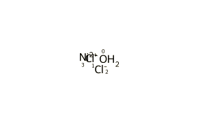 O.[Cl-].[Cl-].[Ni+2]